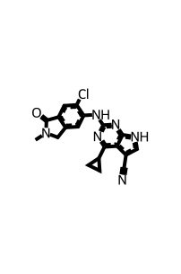 CN1Cc2cc(Nc3nc(C4CC4)c4c(C#N)c[nH]c4n3)c(Cl)cc2C1=O